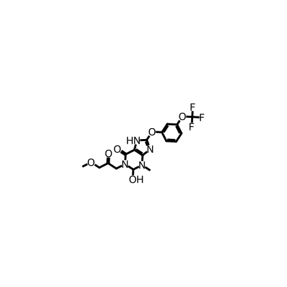 COCC(=O)CN1C(=O)c2[nH]c(Oc3cccc(OC(F)(F)F)c3)nc2N(C)C1O